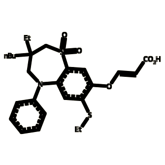 CCCCC1(CC)CN(c2ccccc2)c2cc(SCC)c(OC=CC(=O)O)cc2S(=O)(=O)C1